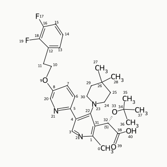 Cc1ncc(-c2ccc(OCCc3cccc(F)c3F)cn2)c(N2CCC(C)(C)CC2)c1[C@H](OC(C)(C)C)C(=O)O